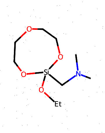 CCO[Si]1(CN(C)C)OCCOCCO1